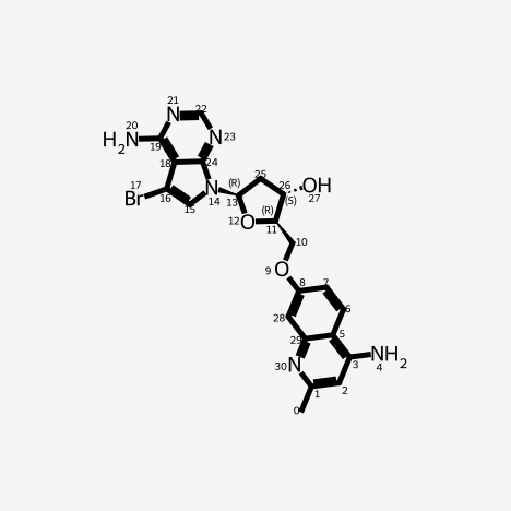 Cc1cc(N)c2ccc(OC[C@H]3O[C@@H](n4cc(Br)c5c(N)ncnc54)C[C@@H]3O)cc2n1